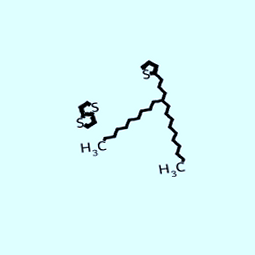 CCCCCCCCCCC(CCCCCCCCCC)CCCc1cccs1.c1cc2sccc2s1